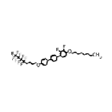 CCCCCCCCOc1ccc(-c2ccc(-c3ccc(OCCCCC(F)(F)C(F)(F)C(F)(F)C(F)(F)F)cc3)cc2)c(F)c1F